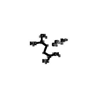 CN(C)CCN(C)C.[Cl-].[Cl-].[Zn+2]